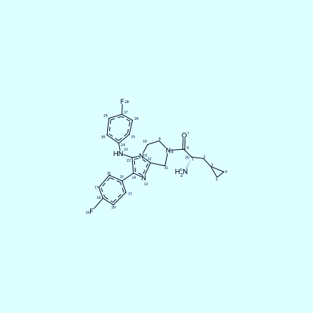 N[C@@H](CC1CC1)C(=O)N1CCn2c(nc(-c3ccc(F)cc3)c2Nc2ccc(F)cc2)C1